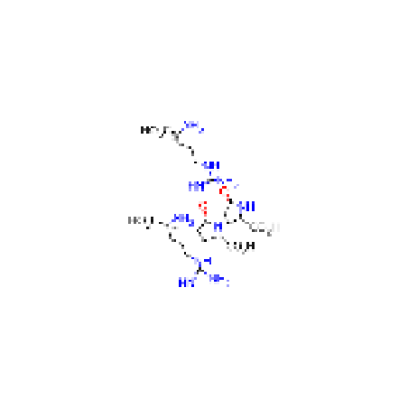 N=C(N)NCCC[C@H](N)C(=O)O.N=C(N)NCCC[C@H](N)C(=O)O.O=C1CCC(C(=O)O)N1.O=C1CCC(C(=O)O)N1